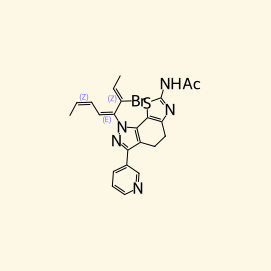 C\C=C/C=C(\C(Br)=C\C)n1nc(-c2cccnc2)c2c1-c1sc(NC(C)=O)nc1CC2